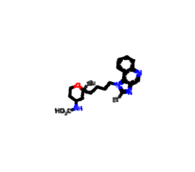 CCc1nc2cnc3ccccc3c2n1CCCCC1(C(C)(C)C)CC(NC(=O)O)CCO1